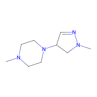 CN1CCN(C2C=NN(C)C2)CC1